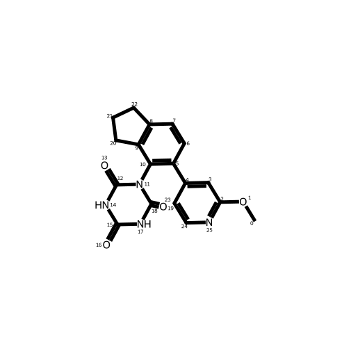 COc1cc(-c2ccc3c(c2-n2c(=O)[nH]c(=O)[nH]c2=O)CCC3)ccn1